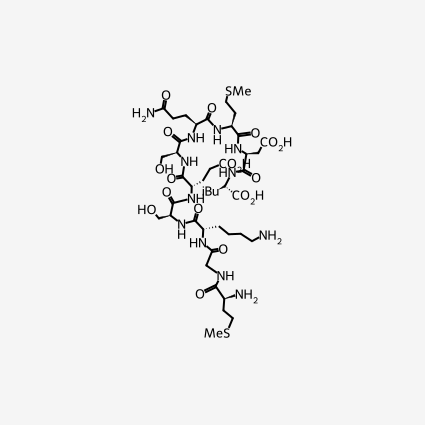 CC[C@H](C)[C@H](NC(=O)[C@H](CC(=O)O)NC(=O)[C@H](CCSC)NC(=O)[C@H](CCC(N)=O)NC(=O)[C@H](CO)NC(=O)[C@H](CCC(=O)O)NC(=O)[C@H](CO)NC(=O)[C@H](CCCCN)NC(=O)CNC(=O)[C@@H](N)CCSC)C(=O)O